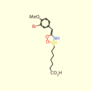 COc1ccc(/C=C2/N[SH](CCCCCCC(=O)O)OO2)cc1Br